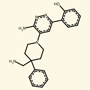 NCC1(c2ccccc2)CCN(c2cc(-c3ccccc3O)nnc2N)CC1